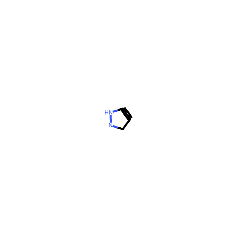 C1#CN[N]C1